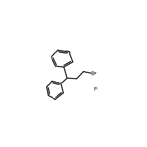 BrCCC(c1ccccc1)c1ccccc1.[P]